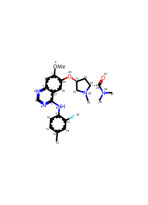 COc1cc2ncnc(Nc3ccc(C)cc3F)c2cc1O[C@H]1C[C@H](C(=O)N(C)C)N(C)C1